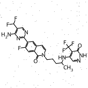 CC(CCCn1ccc2cc(-c3ncc(C(F)F)c(N)n3)c(F)cc2c1=O)Nc1cn[nH]c(=O)c1C(F)(F)F